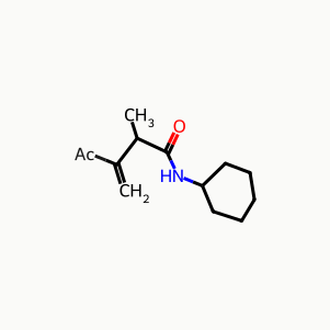 C=C(C(C)=O)C(C)C(=O)NC1CCCCC1